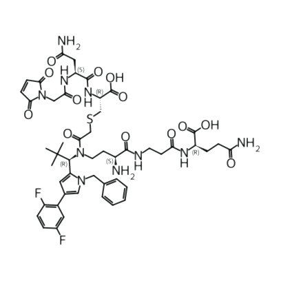 CC(C)(C)[C@H](c1cc(-c2cc(F)ccc2F)cn1Cc1ccccc1)N(CC[C@H](N)C(=O)NCCC(=O)N[C@H](CCC(N)=O)C(=O)O)C(=O)CSC[C@H](NC(=O)[C@H](CC(N)=O)NC(=O)CN1C(=O)C=CC1=O)C(=O)O